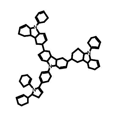 C1=CCCC(N2C3C=CCCC3C3CC(C4C=CC5C(C4)C4CC(C6CCC7C(C6)C6CCC=CC6N7C6=CC=CCC6)C=CC4N5C4=CC=C(C5=CCC(C6C=CCCC6)N5C5=CCCCC5)CC4)C=CC32)=C1